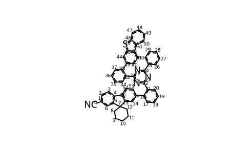 N#Cc1ccc2c(c1)C1(CCCCC1)c1cc(-c3ccccc3-c3nc(-c4ccccc4)nc(-c4ccccc4-c4ccc5c(c4)sc4ccccc45)n3)ccc1-2